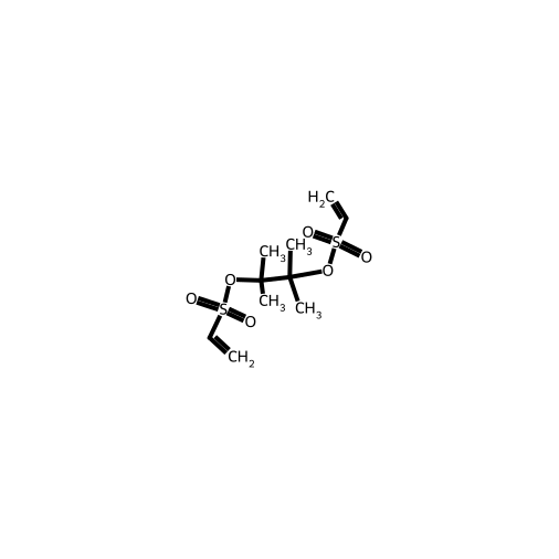 C=CS(=O)(=O)OC(C)(C)C(C)(C)OS(=O)(=O)C=C